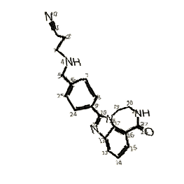 N#CCCNCc1ccc(-c2nc3cccc4c3n2CCNC4=O)cc1